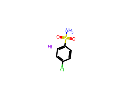 I.NS(=O)(=O)c1ccc(Cl)cc1